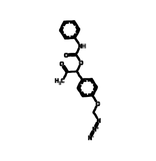 CC(=O)C(OC(=O)Nc1ccccc1)c1ccc(OCN=[N+]=[N-])cc1